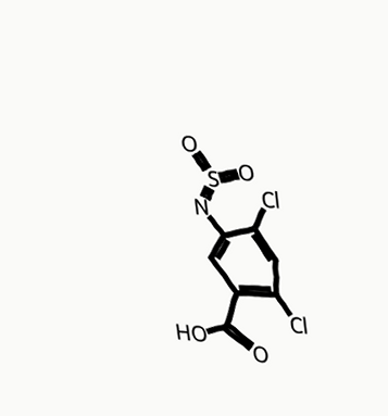 O=C(O)c1cc(N=S(=O)=O)c(Cl)cc1Cl